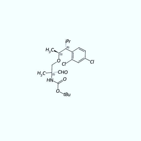 CC(C)[C@H](c1ccc(Cl)cc1Cl)[C@H](C)OC[C@@](C)(C=O)NC(=O)OC(C)(C)C